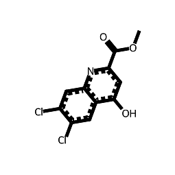 COC(=O)c1cc(O)c2cc(Cl)c(Cl)cc2n1